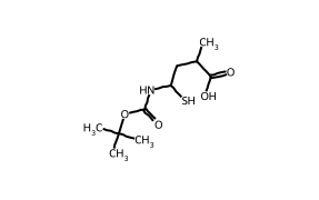 CC(CC(S)NC(=O)OC(C)(C)C)C(=O)O